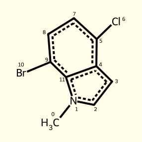 Cn1ccc2c(Cl)ccc(Br)c21